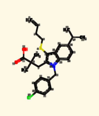 C=CCCSc1c(CC(C)(C)C(=O)O)n(Cc2ccc(Cl)cc2)c2ccc(C(C)C)cc12